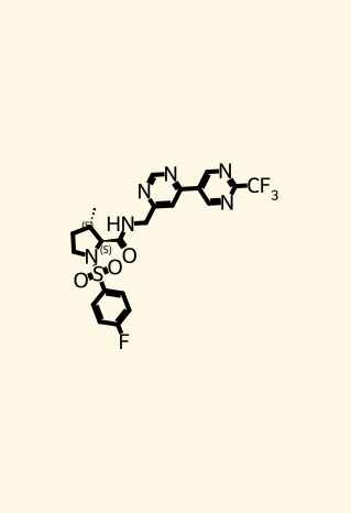 C[C@H]1CCN(S(=O)(=O)c2ccc(F)cc2)[C@@H]1C(=O)NCc1cc(-c2cnc(C(F)(F)F)nc2)ncn1